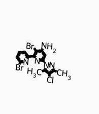 Cc1nn(-c2cc(N)c(Br)c(-c3cccc(Br)n3)n2)c(C)c1Cl